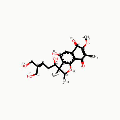 COC1=C(C)C(=O)c2c(cc(O)c3c2OC(C)C3(C)C(O)CC=C(CO)CO)C1=O